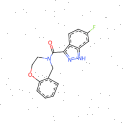 O=C(c1n[nH]c2cc(F)ccc12)N1CCOc2ccccc2C1